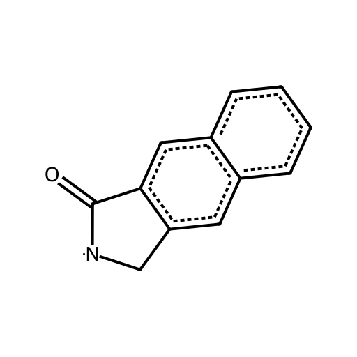 O=C1[N]Cc2cc3ccccc3cc21